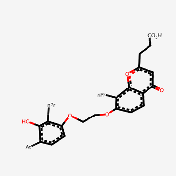 CCCc1c(OCCOc2ccc3c(=O)cc(CCC(=O)O)oc3c2CCC)ccc(C(C)=O)c1O